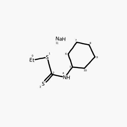 CCSC(=S)NC1CCCCC1.[NaH]